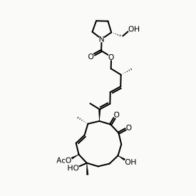 CC(=O)O[C@H]1/C=C/[C@H](C)[C@@H](/C(C)=C/C=C/[C@@H](C)COC(=O)N2CCC[C@@H]2CO)C(=O)C(=O)C[C@@H](O)CC[C@]1(C)O